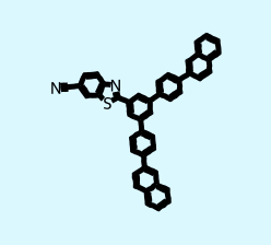 N#Cc1ccc2nc(-c3cc(-c4ccc(-c5ccc6ccccc6c5)cc4)cc(-c4ccc(-c5ccc6ccccc6c5)cc4)c3)sc2c1